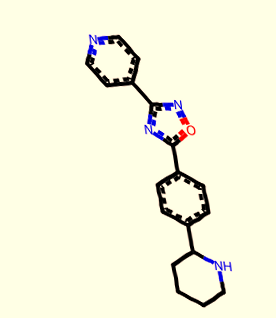 c1cc(-c2noc(-c3ccc(C4CCCCN4)cc3)n2)ccn1